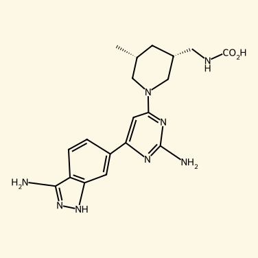 C[C@@H]1C[C@H](CNC(=O)O)CN(c2cc(-c3ccc4c(N)n[nH]c4c3)nc(N)n2)C1